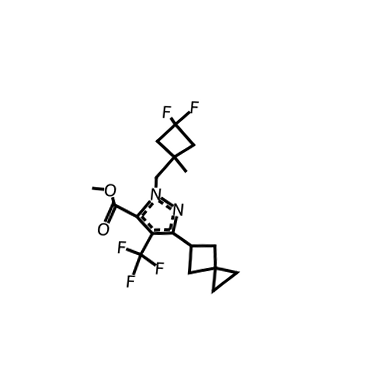 COC(=O)c1c(C(F)(F)F)c(C2CC3(CC3)C2)nn1CC1(C)CC(F)(F)C1